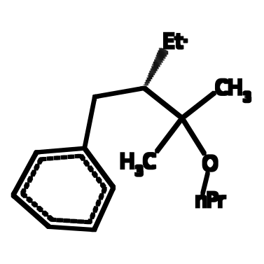 C[CH][C@@H](Cc1ccccc1)C(C)(C)OCCC